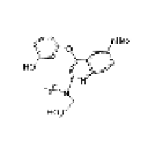 CCCCCCc1ccc2nc(N(C)CC(=O)O)cc(Oc3cccc(O)c3)c2c1